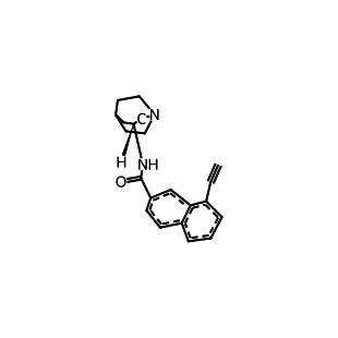 C#Cc1cccc2ccc(C(=O)N[C@@H]3CC4CCN(CC4)C3)cc12